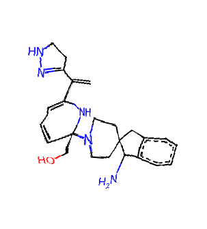 C=C(C1=CC=C[C@@](CO)(N2CCC3(CC2)Cc2ccccc2C3N)N1)C1=NNCC1